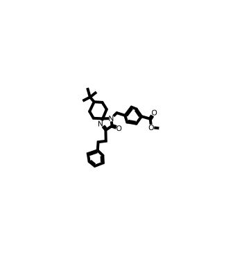 COC(=O)c1ccc(CN2C(=O)C(CCc3ccccc3)=NC23CCC(C(C)(C)C)CC3)cc1